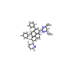 Cc1ccc(C)c(-c2cc3ccc4c(-c5nc(C(C)(C)C)cc(C(C)(C)C)n5)cc(-c5ccccc5)c5cc(-c6ccccc6)c(c2)c3c54)n1